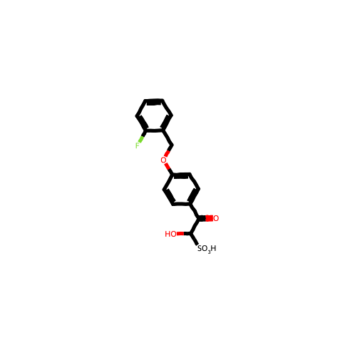 O=C(c1ccc(OCc2ccccc2F)cc1)C(O)S(=O)(=O)O